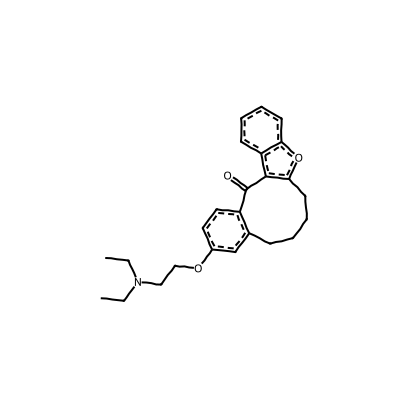 CCN(CC)CCOc1ccc2c(c1)CCCCc1oc3ccccc3c1C2=O